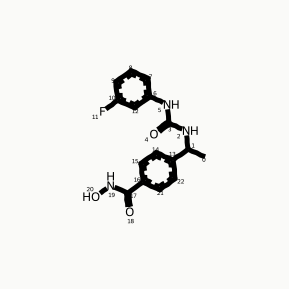 CC(NC(=O)Nc1cccc(F)c1)c1ccc(C(=O)NO)cc1